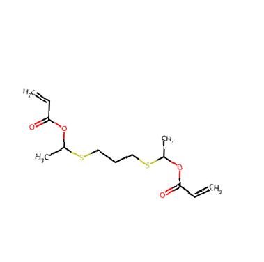 C=CC(=O)OC(C)SCCCSC(C)OC(=O)C=C